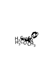 Cc1nc(N2CCCOCC2)sc1C(=O)NC(C)C